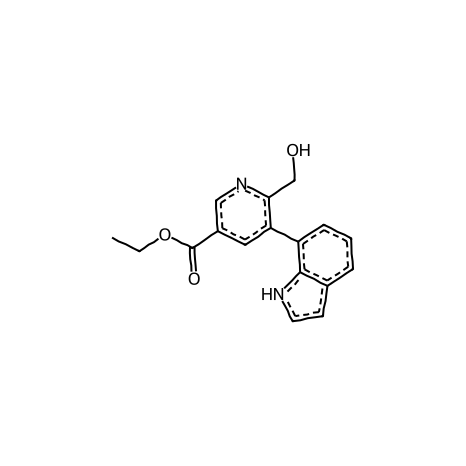 CCOC(=O)c1cnc(CO)c(-c2cccc3cc[nH]c23)c1